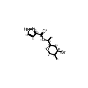 CC1COC(C(C)OC(=O)c2cc[nH]n2)CC1Br